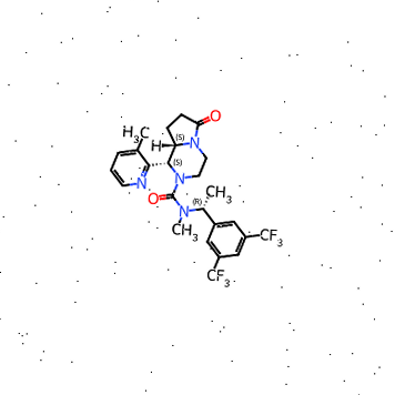 Cc1cccnc1[C@@H]1[C@@H]2CCC(=O)N2CCN1C(=O)N(C)[C@H](C)c1cc(C(F)(F)F)cc(C(F)(F)F)c1